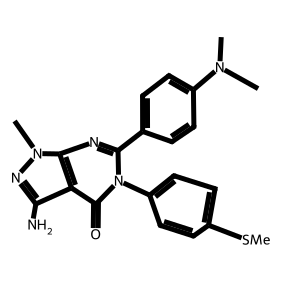 CSc1ccc(-n2c(-c3ccc(N(C)C)cc3)nc3c(c(N)nn3C)c2=O)cc1